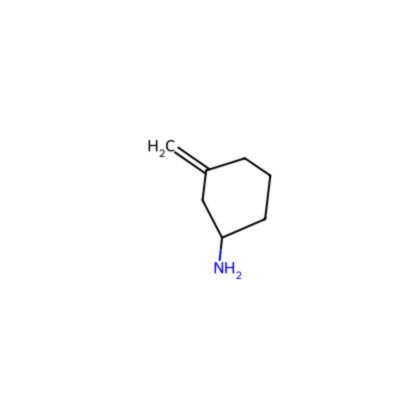 C=C1CCCC(N)C1